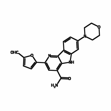 NC(=O)c1cc(-c2ccc(C=O)o2)nc2c1[nH]c1cc(N3CCOCC3)ccc12